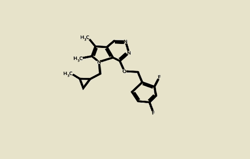 Cc1c(C)n(CC2CC2C)c2c(OCc3ccc(F)cc3F)nncc12